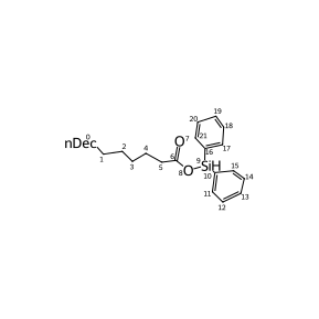 CCCCCCCCCCCCCCCC(=O)O[SiH](c1ccccc1)c1ccccc1